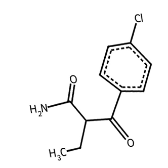 CCC(C(N)=O)C(=O)c1ccc(Cl)cc1